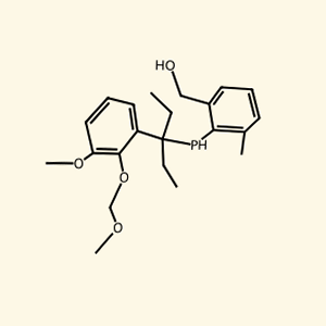 CCC(CC)(Pc1c(C)cccc1CO)c1cccc(OC)c1OCOC